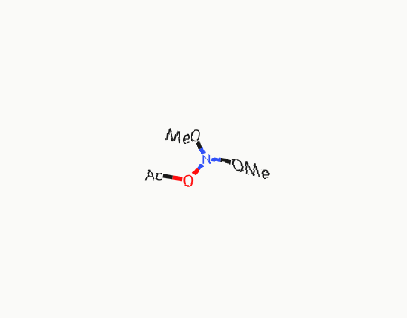 CON(OC)OC(C)=O